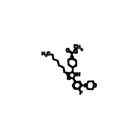 CCCCCCCN1OC(c2ccc(F)c(N3CCOCC3)c2)NC1C1CCN(C(=O)OC)CC1